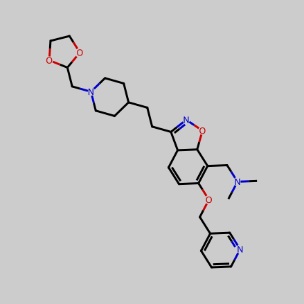 CN(C)CC1=C(OCc2cccnc2)C=CC2C(CCC3CCN(CC4OCCO4)CC3)=NOC12